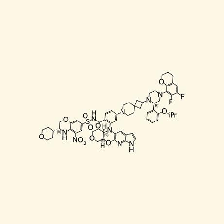 CC(C)Oc1ccccc1[C@@H]1CN(c2c(F)c(F)cc3c2OCCC3)CCN1C1CC2(CCN(c3ccc(C(=O)NS(=O)(=O)c4cc5c(c([N+](=O)[O-])c4)N[C@H](C4CCOCC4)CO5)c(N4c5cc6cc[nH]c6nc5O[C@H]5COCC[C@@H]54)c3)CC2)C1